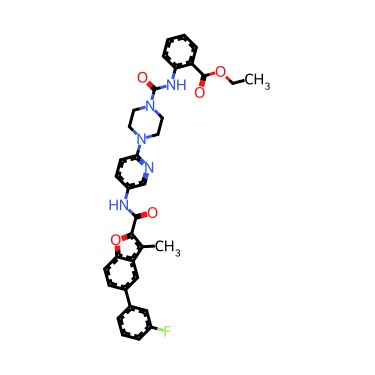 CCOC(=O)c1ccccc1NC(=O)N1CCN(c2ccc(NC(=O)c3oc4ccc(-c5cccc(F)c5)cc4c3C)cn2)CC1